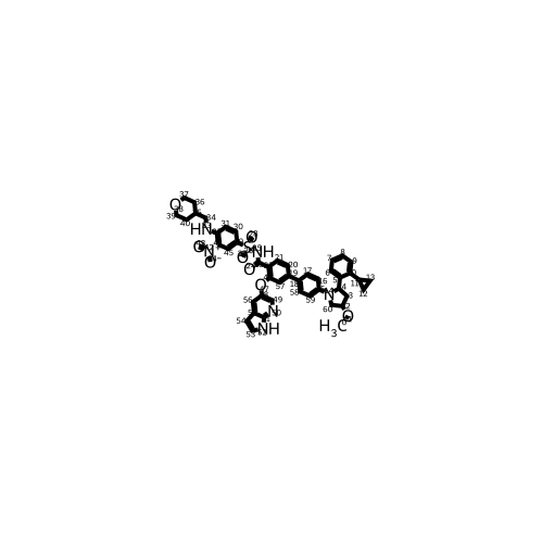 COC1CC(c2ccccc2C2CC2)N(c2ccc(-c3ccc(C(=O)NS(=O)(=O)c4ccc(NCC5CCOCC5)c([N+](=O)[O-])c4)c(Oc4cnc5[nH]ccc5c4)c3)cc2)C1